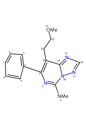 CNc1nc(-c2ccccc2)c(CCOC)c2ncnn12